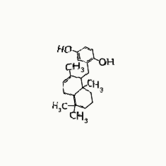 CC1=CCC2C(C)(C)CCCC2(C)C1Cc1cc(O)ccc1O